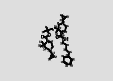 CC(C)(C)OC(=O)N1CCN(C2CC2)CC1(C)C.CC1(C)CN(C2CC2)CCN1C(=O)NCCCCc1ccccc1